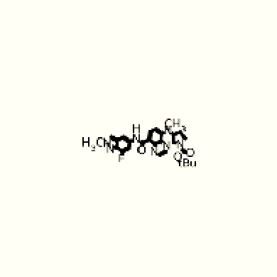 CN(c1ccc(C(=O)Nc2cc(F)c3nn(C)cc3c2)c2nccnc12)C1CCN(C(=O)OC(C)(C)C)C1